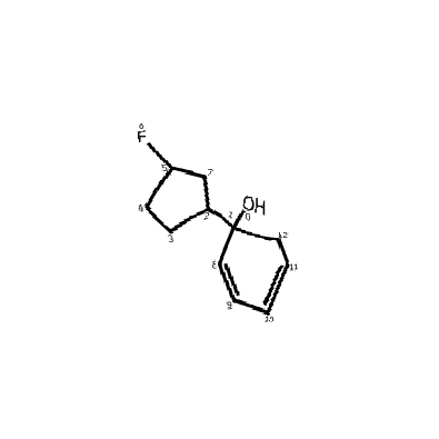 OC1(C2CCC(F)C2)C=CC=CC1